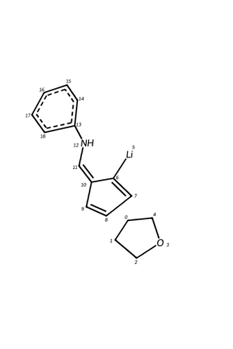 C1CCOC1.[Li][C]1=CC=C/C1=C/Nc1ccccc1